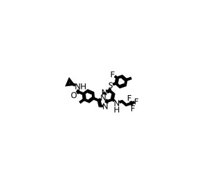 Cc1ccc(Sc2cc(NCCC(F)(F)F)c3ncc(-c4ccc(C(=O)NC5CC5)c(C)c4)n3n2)c(F)c1